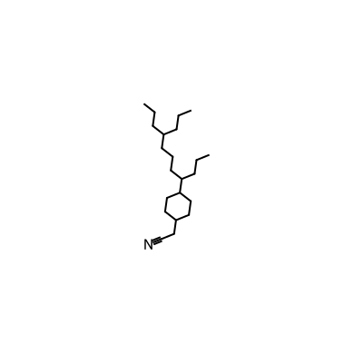 CCCC(CCC)CCCC(CCC)C1CCC(CC#N)CC1